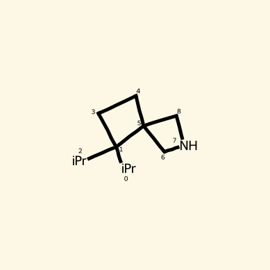 CC(C)C1(C(C)C)CCC12CNC2